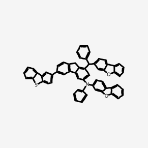 c1ccc(C(c2ccc3c(c2)oc2ccccc23)c2cc(N(c3ccccc3)c3ccc4c(c3)oc3ccccc34)cc3c2Cc2ccc(-c4ccc5sc6ccccc6c5c4)cc2-3)cc1